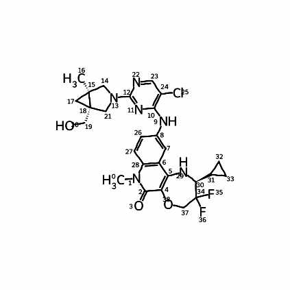 Cn1c(=O)c2c(c3cc(Nc4nc(N5C[C@]6(C)C[C@]6(CO)C5)ncc4Cl)ccc31)N[C@@H](C1CC1)C(F)(F)CO2